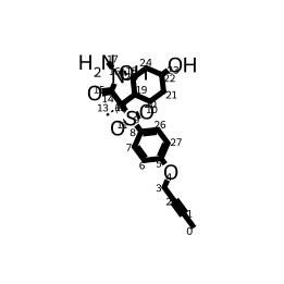 CC#CCOc1ccc(S(=O)(=O)[C@@](C)(C(=O)N(N)O)C2CCC(O)CC2)cc1